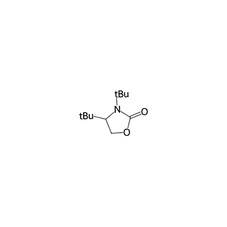 CC(C)(C)C1COC(=O)N1C(C)(C)C